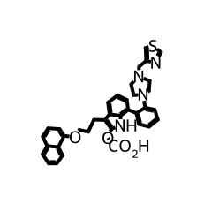 O=C(O)Oc1[nH]c2c(-c3ccccc3N3CCN(Cc4cscn4)CC3)cccc2c1CCCOc1cccc2ccccc12